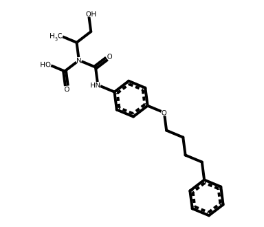 CC(CO)N(C(=O)O)C(=O)Nc1ccc(OCCCCc2ccccc2)cc1